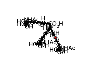 CC(=O)N[C@H]1[C@H](OCCOCCOCCOCC(=O)NCCCC[C@H](NC(=O)[C@H](CCCCNC(=O)COCCOCCOCCO[C@@H]2O[C@H](CO)[C@H](O)[C@H](O)[C@H]2NC(C)=O)NC(=O)COCCOCCOCCO[C@@H]2O[C@H](CCO)[C@H](O)[C@H](O)[C@H]2NC(C)=O)C(=O)O)O[C@H](CO)[C@H](O)[C@@H]1O